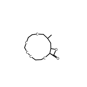 CC1CCCCCCCCCCCC2C(=O)OC2C1